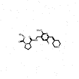 COc1nc(C=C2CCOCC2)c(F)cc1CNC(=O)C1CCCN1C(=O)OC(C)(C)C